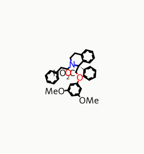 COc1cc(OC)cc(O[C@H](C(=O)O)[C@]2(c3ccccc3)c3ccccc3CCN2C(=O)Cc2ccccc2)c1